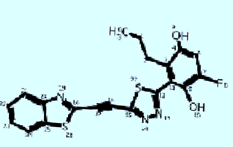 CCCc1c(O)cc(F)c(O)c1-c1nnc(C#Cc2nc3ccccc3s2)s1